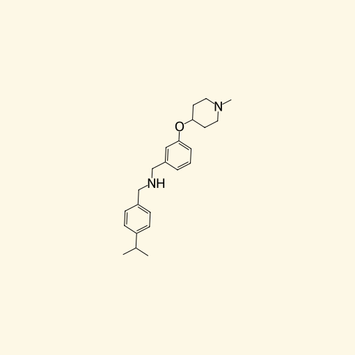 CC(C)c1ccc(CNCc2cccc(OC3CCN(C)CC3)c2)cc1